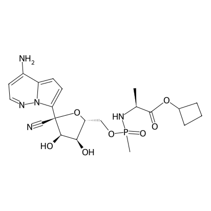 C[C@H](NP(C)(=O)OC[C@H]1O[C@@](C#N)(c2ccc3c(N)ccnn23)[C@H](O)[C@@H]1O)C(=O)OC1CCC1